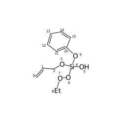 C=CCO[Si](O)(OOCC)Oc1ccccc1